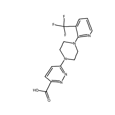 O=C(O)c1ccc(N2CCN(c3ncccc3C(F)(F)F)CC2)nn1